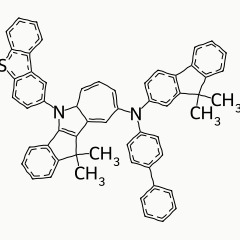 CC1(C)C2=C(c3ccccc31)N(c1ccc3sc4ccccc4c3c1)C1C=CC=C(N(c3ccc(-c4ccccc4)cc3)c3ccc4c(c3)C(C)(C)c3ccccc3-4)C=C21